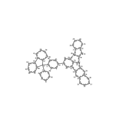 c1ccc(C2(c3ccc(-c4cc5c6cc7ccccc7cc6n6c5c(c4)n4c5ccccc5nc46)cc3)c3ccccc3-c3ccccc32)cc1